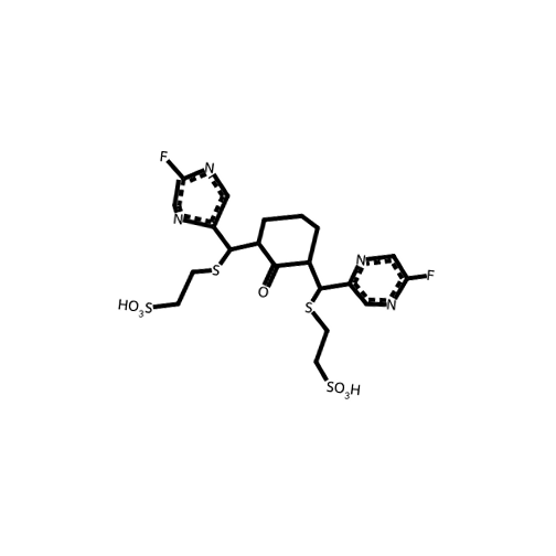 O=C1C(C(SCCS(=O)(=O)O)c2cnc(F)cn2)CCCC1C(SCCS(=O)(=O)O)c1cnc(F)cn1